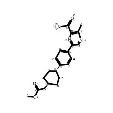 COC(=O)C[C@H]1CC[C@H](c2ccc(-c3cnc(C)c(C(N)=O)n3)cc2)CC1